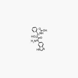 NN(C(=O)[C@H](O)[C@@H](NC(=O)O)c1ccccc1)c1ccc2nc[nH]c2c1